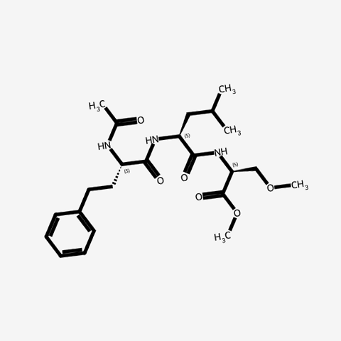 COC[C@H](NC(=O)[C@H](CC(C)C)NC(=O)[C@H](CCc1ccccc1)NC(C)=O)C(=O)OC